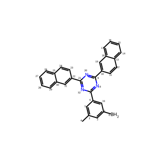 Bc1cc(C)cc(-c2nc(-c3ccc4ccccc4c3)nc(-c3ccc4ccccc4c3)n2)c1